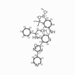 COB1OC(C)(C)c2cc(Nc3cc(N[C@H](CO)c4ccccc4)c(-c4nc(-c5ccncc5)no4)cn3)ccc21